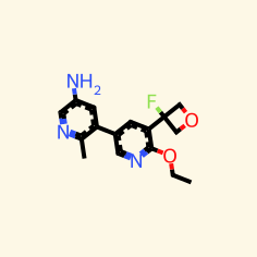 CCOc1ncc(-c2cc(N)cnc2C)cc1C1(F)COC1